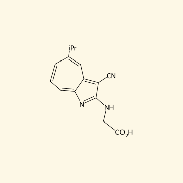 CC(C)c1cccc2nc(NCC(=O)O)c(C#N)c-2c1